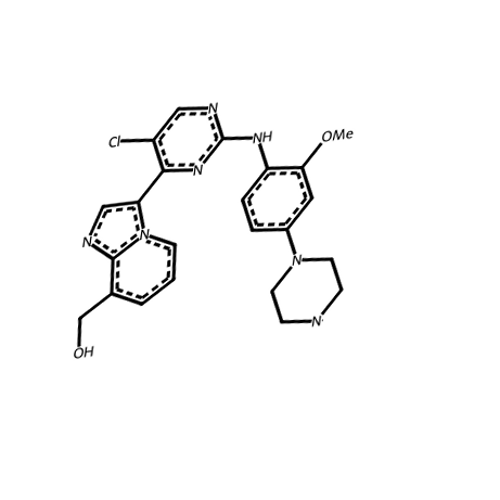 COc1cc(N2CC[N]CC2)ccc1Nc1ncc(Cl)c(-c2cnc3c(CO)cccn23)n1